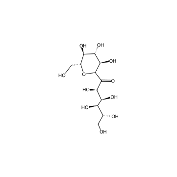 O=C(C1O[C@H](CO)[C@@H](O)[C@H](O)[C@H]1O)[C@H](O)[C@@H](O)[C@H](O)[C@H](O)CO